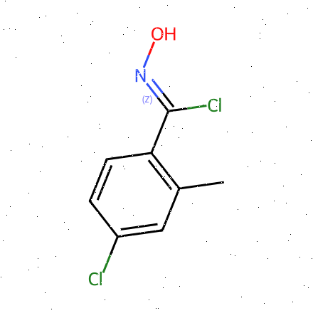 Cc1cc(Cl)ccc1/C(Cl)=N/O